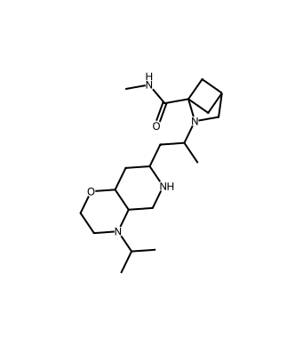 CNC(=O)C12CC(CN1C(C)CC1CC3OCCN(C(C)C)C3CN1)C2